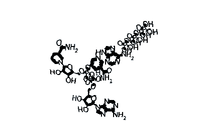 NC(=O)C1=CN([C@@H]2O[C@H](COP(=O)(O)OP(=O)(O)OC[C@H]3O[C@@H](n4cnc5c(N)ncnc54)[C@H](O)[C@@H]3O)[C@@H](O)[C@H]2O)C=CC1.NC(=O)c1cccnc1.Nc1ncnc2[nH]cnc12.O=P(O)(O)O.O=P(O)(O)O.O=P(O)(O)O